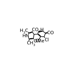 COC1=C(C)NC(C)=C(C(=O)O)C1C1=C(Cl)C(Cl)C(=C=O)C=C1